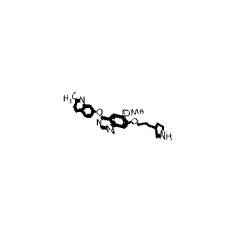 COc1cc2c(Oc3ccc4ccc(C)nc4c3)ncnc2cc1OCCCC1CCNC1